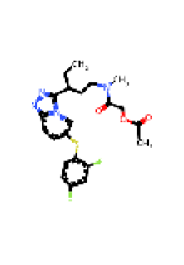 CCC(CCN(C)C(=O)COC(C)=O)c1nnc2ccc(Sc3ccc(F)cc3F)cn12